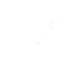 Cc1nc(C(=O)Oc2cc[nH]n2)c(-c2ccccc2)o1